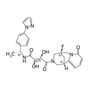 C[C@@H](NC(=O)[C@H](O)[C@@H](O)C(=O)N1C[C@@H]2C[C@](F)(C1)Cn1c2cccc1=O)c1ccc(-n2cccn2)cc1